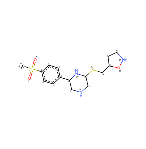 CS(=O)(=O)c1ccc(C2CNCC(SCC3CCNO3)N2)cc1